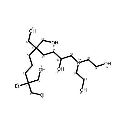 CCC(CO)(CO)CCCC(CO)(CO)CCC(O)CN(CCO)CCO